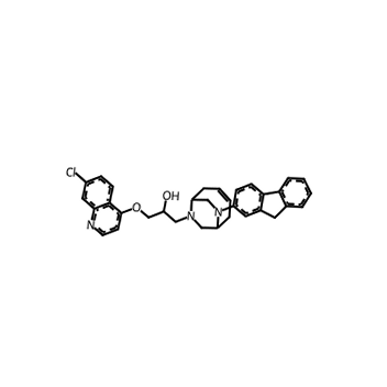 OC(COc1ccnc2cc(Cl)ccc12)CN1CC2CC=CCC1CN2c1ccc2c(c1)Cc1ccccc1-2